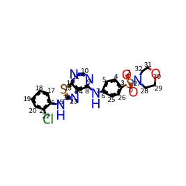 O=S(=O)(c1ccc(Nc2ncnc3sc(Nc4ccccc4Cl)nc23)cc1)N1CCOCC1